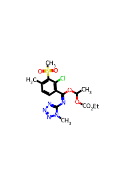 CCOC(=O)OC(C)OC(=Nc1nnnn1C)c1ccc(C)c(S(C)(=O)=O)c1Cl